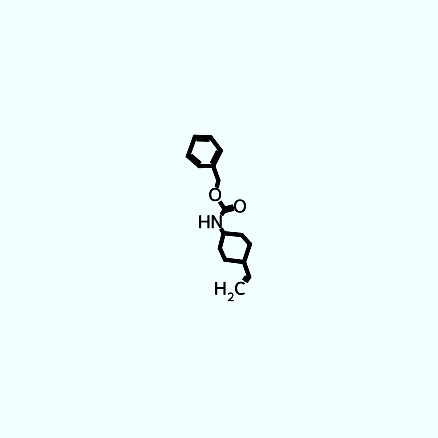 C=CC1CCC(NC(=O)OCc2ccccc2)CC1